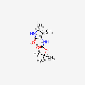 C[C@H]1[C@H](C)NC(=O)[C@H]1NC(=O)OC(C)(C)C